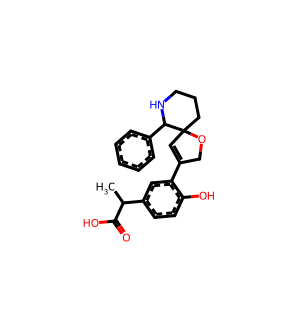 CC(C(=O)O)c1ccc(O)c(C2=CC3(CCCNC3c3ccccc3)OC2)c1